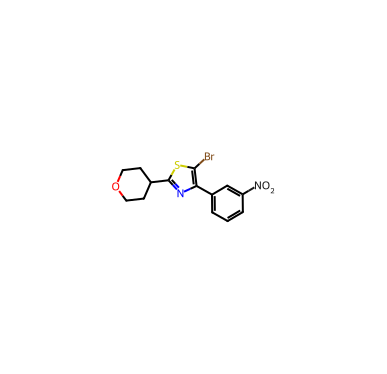 O=[N+]([O-])c1cccc(-c2nc(C3CCOCC3)sc2Br)c1